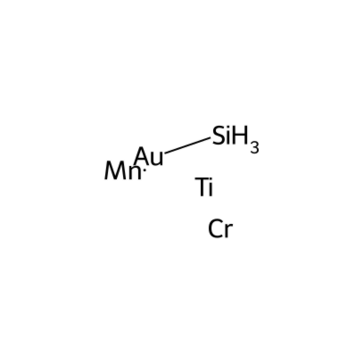 [Cr].[Mn].[SiH3][Au].[Ti]